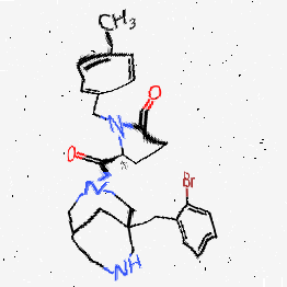 Cc1ccc(CN2C(=O)CC[C@H]2C(=O)N2CC3CNCC(Cc4ccccc4Br)(C3)C2)cc1